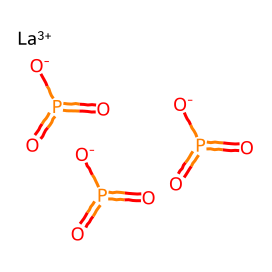 O=P(=O)[O-].O=P(=O)[O-].O=P(=O)[O-].[La+3]